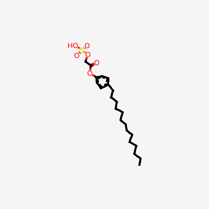 CCCCCCCCCCCCCCc1ccc(OC(=O)COS(=O)(=O)O)cc1